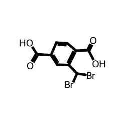 O=C(O)c1ccc(C(=O)O)c(C(Br)Br)c1